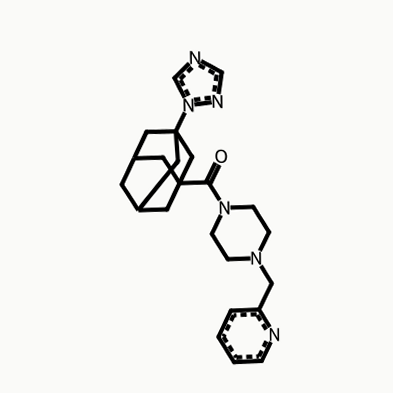 O=C(N1CCN(Cc2ccccn2)CC1)C12CC3CC(C1)CC(n1cncn1)(C3)C2